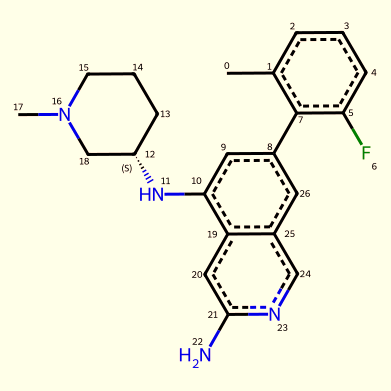 Cc1cccc(F)c1-c1cc(N[C@H]2CCCN(C)C2)c2cc(N)ncc2c1